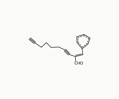 C#CCCCCC#C/C(C=O)=C\c1ccccc1